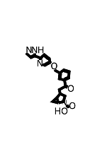 O=C(CC1C[C@@H](C(=O)O)C2CC12)c1cccc(COc2ccc(-c3ccn[nH]3)nc2)c1